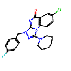 O=c1nc2n(Cc3ccc(F)cc3)nc(N3CCCCCC3)n2c2ccc(Cl)cc12